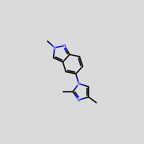 Cc1cn(-c2ccc3nn(C)cc3c2)c(C)n1